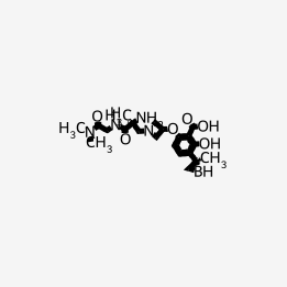 CN(C)C(=O)CNC(=O)[C@@](C)(N)CN1CC(Oc2ccc([C@]3(C)BC3)c(O)c2C(=O)O)C1